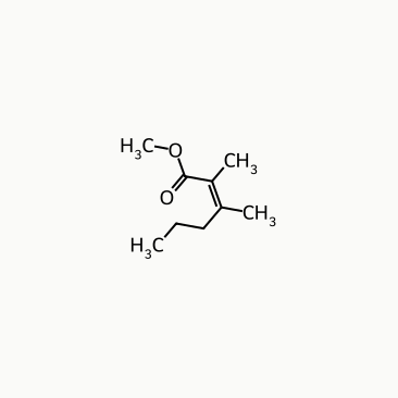 CCCC(C)=C(C)C(=O)OC